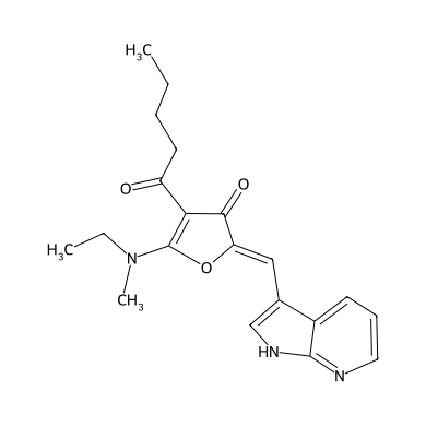 CCCCC(=O)C1=C(N(C)CC)O/C(=C\c2c[nH]c3ncccc23)C1=O